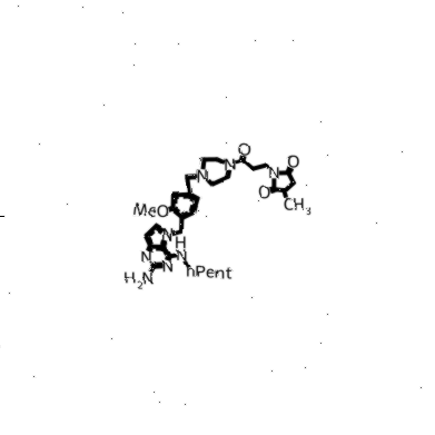 CCCCCNc1nc(N)nc2ccn(Cc3ccc(CN4CCN(C(=O)CCN5C(=O)CC(C)C5=O)CC4)cc3OC)c12